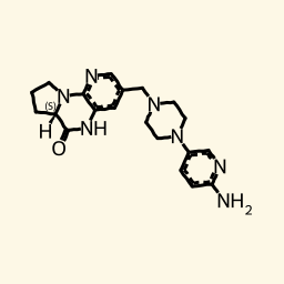 Nc1ccc(N2CCN(Cc3cnc4c(c3)NC(=O)[C@@H]3CCCN43)CC2)cn1